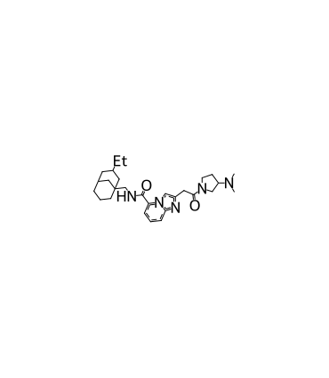 CCC1CC2CCCC(CNC(=O)c3cccc4nc(CC(=O)N5CCC(N(C)C)C5)cn34)(C1)C2